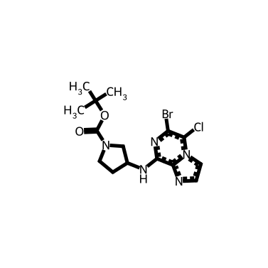 CC(C)(C)OC(=O)N1CCC(Nc2nc(Br)c(Cl)n3ccnc23)C1